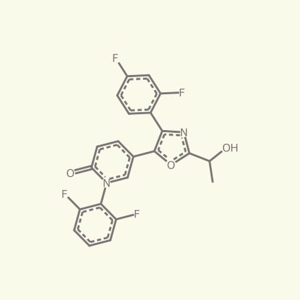 CC(O)c1nc(-c2ccc(F)cc2F)c(-c2ccc(=O)n(-c3c(F)cccc3F)c2)o1